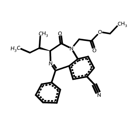 CCOC(=O)CN1C(=O)[C@H](C(C)CC)N=C(c2ccccc2)c2cc(C#N)ccc21